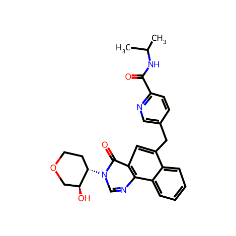 CC(C)NC(=O)c1ccc(Cc2cc3c(=O)n([C@H]4CCOC[C@@H]4O)cnc3c3ccccc23)cn1